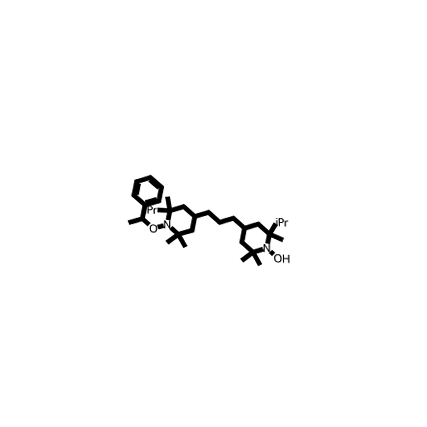 CC(ON1C(C)(C)CC(CCCC2CC(C)(C)N(O)C(C)(C(C)C)C2)CC1(C)C(C)C)c1ccccc1